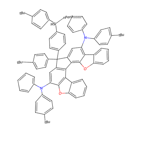 CCCCC[SiH](c1ccc(C(C)(C)C)cc1)c1ccc(C2(c3ccc(C(C)(C)C)cc3)c3cc(N(c4ccccc4)c4ccc(C(C)(C)C)cc4)c4c(oc5ccccc54)c3-c3c2cc(N(c2ccccc2)c2ccc(C(C)(C)C)cc2)c2oc4ccccc4c32)cc1